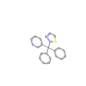 c1ccc(C(c2ccccc2)(c2ccccc2)c2nccs2)cc1